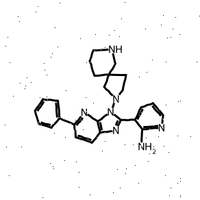 Nc1ncccc1-c1nc2ccc(-c3ccccc3)nc2n1N1CCC2(CCCNC2)C1